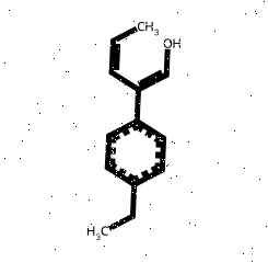 C/C=C\C(=C/O)c1ccc(CC)cc1